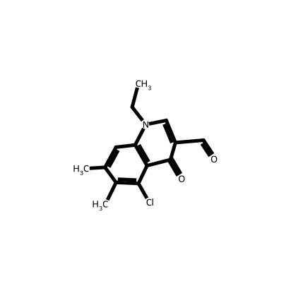 CCn1cc(C=O)c(=O)c2c(Cl)c(C)c(C)cc21